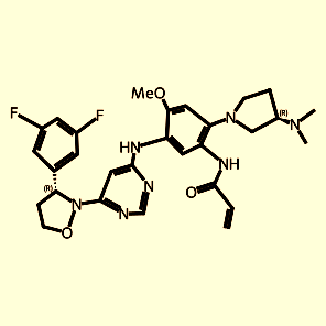 C=CC(=O)Nc1cc(Nc2cc(N3OCC[C@@H]3c3cc(F)cc(F)c3)ncn2)c(OC)cc1N1CC[C@@H](N(C)C)C1